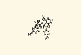 COc1ccc(COc2cccc(OC)c2C(=O)/C=C(\Nc2cnc(C#N)cn2)S(C)(=O)=O)cc1